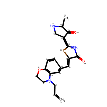 C=CCN1CCOc2ccc(/C=c3\s/c(=C4\CNC(C)C4=O)[nH]c3=O)cc21